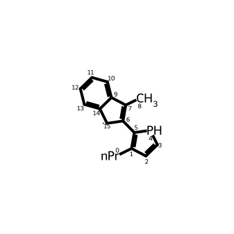 CCCc1cc[pH]c1C1=C(C)c2ccccc2[CH]1